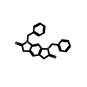 O=C1Cc2cc3c(cc2N1Cc1ccccc1)N(Cc1ccccc1)C(=O)C3